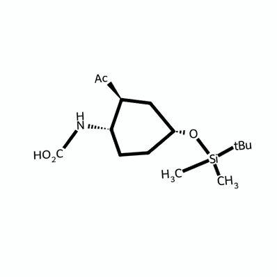 CC(=O)[C@H]1C[C@H](O[Si](C)(C)C(C)(C)C)CC[C@@H]1NC(=O)O